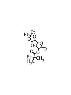 CCC1(CC)OC2OC3C(OC(=O)C(C)(C)CC)C(=O)OC3C2O1